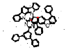 c1ccc(-c2ccc(-n3c4ccccc4c4ccc5c6ccccc6n(-c6nc(-c7cc(-c8ccccc8)cc(-c8ccccc8)c7)nc(-c7ccc8c(c7)oc7cccc(-c9ccccc9)c78)n6)c5c43)cc2)cc1